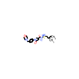 CCC(C)CCc1nnc(NC(=O)C2CC(=O)N(c3ccc(CN4CCOCC4)cc3)C2)s1